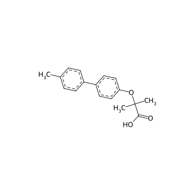 Cc1ccc(-c2ccc(OC(C)(C)C(=O)O)cc2)cc1